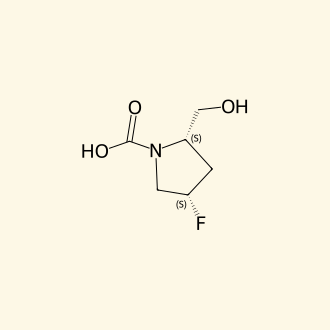 O=C(O)N1C[C@@H](F)C[C@H]1CO